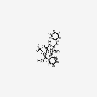 CC(C)(C)OC(=O)NC(Cc1ccccc1)C(=O)Nc1ncccc1C(=O)O